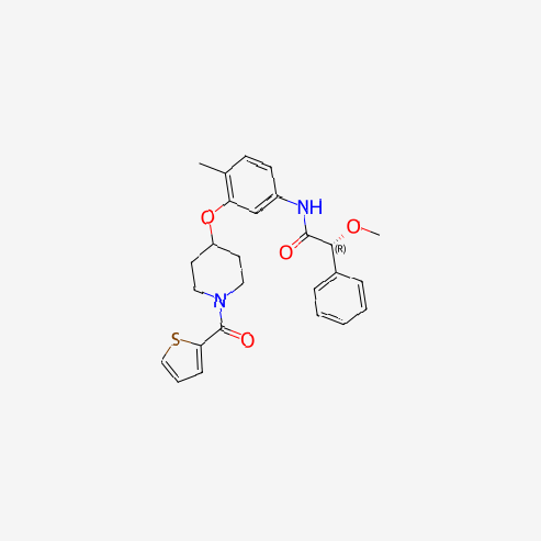 CO[C@@H](C(=O)Nc1ccc(C)c(OC2CCN(C(=O)c3cccs3)CC2)c1)c1ccccc1